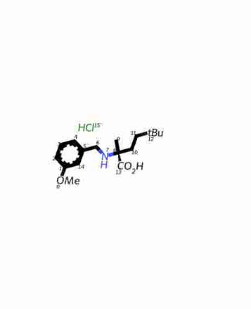 COc1cccc(CN[C@](C)(CCC(C)(C)C)C(=O)O)c1.Cl